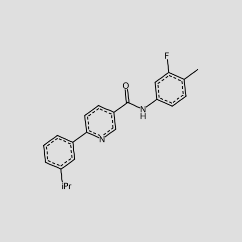 Cc1ccc(NC(=O)c2ccc(-c3cccc(C(C)C)c3)nc2)cc1F